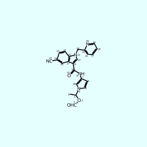 CC(OC=O)n1ccc(NC(=O)c2cn(Cc3ccccn3)c3ccc(C#N)cc23)c1